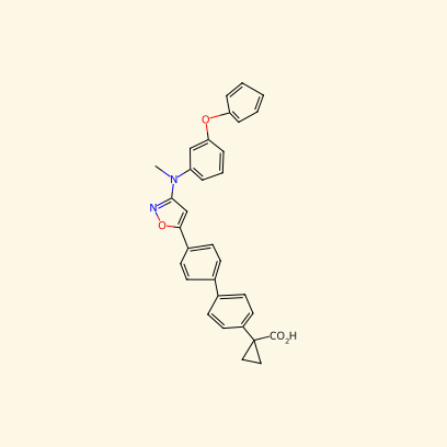 CN(c1cccc(Oc2ccccc2)c1)c1cc(-c2ccc(-c3ccc(C4(C(=O)O)CC4)cc3)cc2)on1